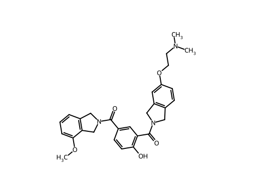 COc1cccc2c1CN(C(=O)c1ccc(O)c(C(=O)N3Cc4ccc(OCCN(C)C)cc4C3)c1)C2